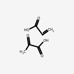 C=CC(=O)O.CC(=O)C(=O)O